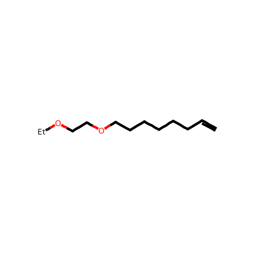 C=CCCCCCCOCCOCC